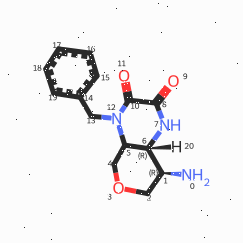 N[C@H]1COCC2[C@@H]1NC(=O)C(=O)N2Cc1ccccc1